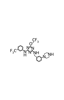 FC(F)(F)COc1nc(NCc2cccc(N3CCNCC3)c2)nc(Nc2cccc(C(F)(F)F)c2)n1